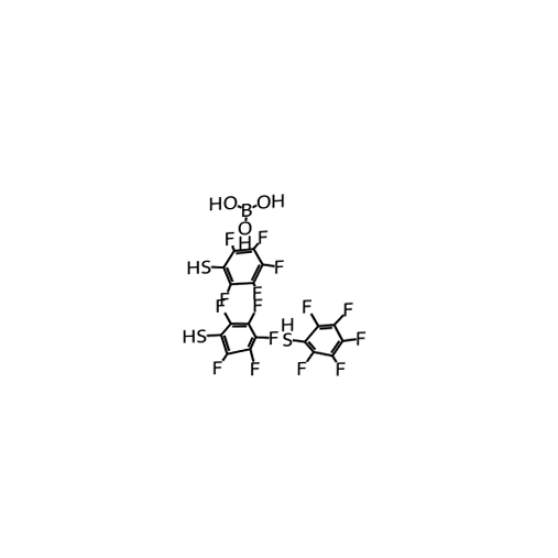 Fc1c(F)c(F)c(S)c(F)c1F.Fc1c(F)c(F)c(S)c(F)c1F.Fc1c(F)c(F)c(S)c(F)c1F.OB(O)O